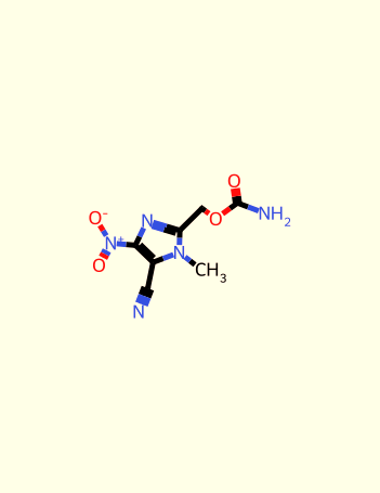 Cn1c(COC(N)=O)nc([N+](=O)[O-])c1C#N